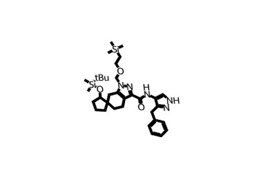 CC(C)(C)[Si](C)(C)OC1CCCC12CCc1c(C(=O)Nc3c[nH]nc3Cc3ccccc3)nn(COCC[Si](C)(C)C)c1C2